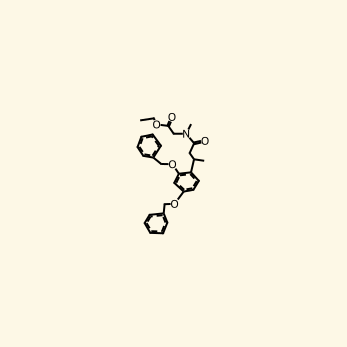 CCOC(=O)CN(C)C(=O)CC(C)c1ccc(OCc2ccccc2)cc1OCc1ccccc1